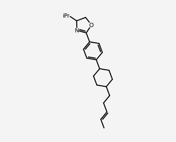 CC=CCCC1CCC(c2ccc(C3=NC(C(C)C)CO3)cc2)CC1